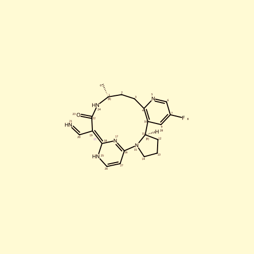 C[C@@H]1CCc2ncc(F)cc2[C@H]2CCCN2C2=N/C(=C(/C=N)C(=O)N1)NC=C2